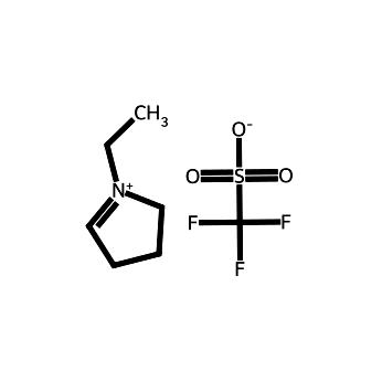 CC[N+]1=CCCC1.O=S(=O)([O-])C(F)(F)F